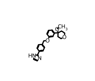 COC1(c2cccc(OCc3ccc(-c4ncc[nH]4)cc3)c2)CCOCC1